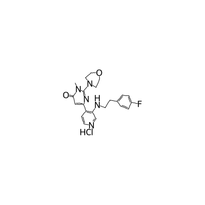 Cl.Cn1c(N2CCOCC2)nc(-c2ccncc2NCCc2ccc(F)cc2)cc1=O